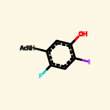 CC(=O)Nc1cc(O)c(I)cc1F